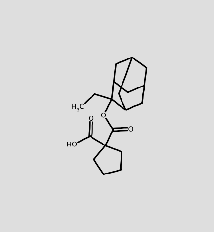 CCC1(OC(=O)C2(C(=O)O)CCCC2)C2CC3CC(C2)CC1C3